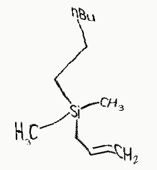 C=C[Si](C)(C)CCCCCC